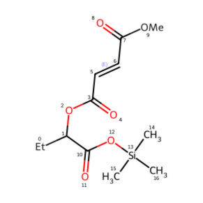 CCC(OC(=O)/C=C/C(=O)OC)C(=O)O[Si](C)(C)C